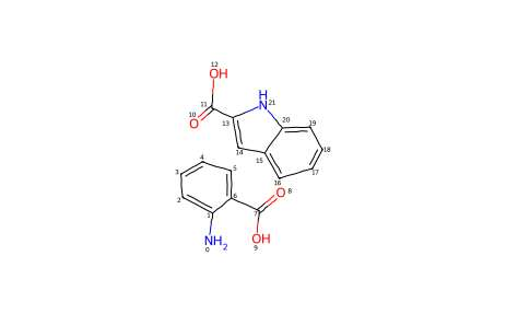 Nc1ccccc1C(=O)O.O=C(O)c1cc2ccccc2[nH]1